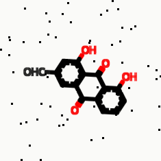 O=Cc1cc(O)c2c(c1)C(=O)c1cccc(O)c1C2=O